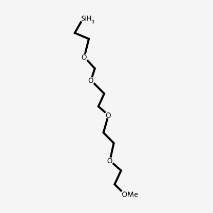 COCCOCCOCCOCOCC[SiH3]